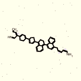 C=C/C=C(\C=N)C1=CC=C(C2=CC=C(C3=c4ccccc4=C(c4ccc(C/C=C\C=C/N)c5ccccc45)CC3)CC2)CC1